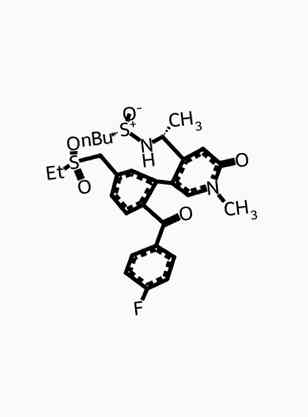 CCCC[S@+]([O-])N[C@H](C)c1cc(=O)n(C)cc1-c1cc(CS(=O)(=O)CC)ccc1C(=O)c1ccc(F)cc1